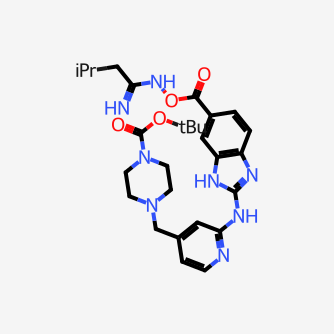 CC(C)CC(=N)NOC(=O)c1ccc2nc(Nc3cc(CN4CCN(C(=O)OC(C)(C)C)CC4)ccn3)[nH]c2c1